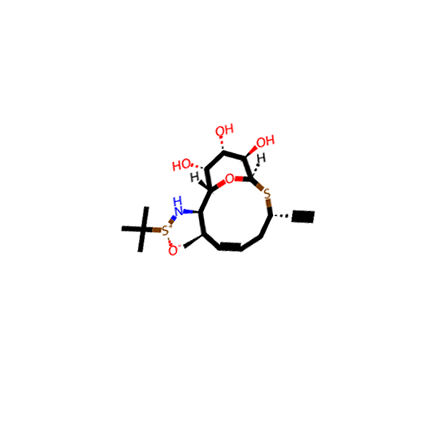 C#C[C@@H]1CC=C[C@@H](C)[C@@H](N[S@+]([O-])C(C)(C)C)[C@H]2O[C@H](S1)[C@H](O)[C@@H](O)[C@H]2O